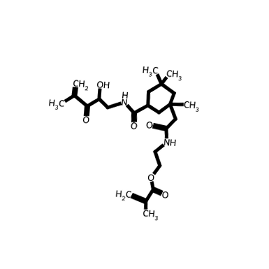 C=C(C)C(=O)OCCNC(=O)CC1(C)CC(C(=O)NCC(O)C(=O)C(=C)C)CC(C)(C)C1